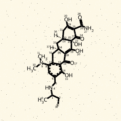 CC(CF)NCc1cc(N(C)C)c2c(c1O)C(=O)C1=C(O)[C@]3(O)C(=O)C(C(N)=O)=C(O)C[C@@H]3C[C@@H]1C2